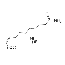 CCCCCCCC/C=C\CCCCCCCC(N)=O.F.F